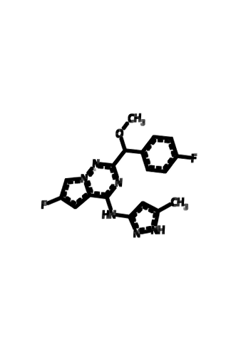 COC(c1ccc(F)cc1)c1nc(Nc2cc(C)[nH]n2)c2cc(F)cn2n1